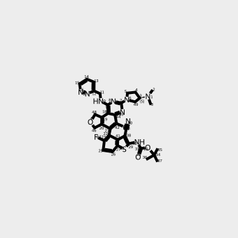 CN(C)[C@H]1CCN(c2nc(NCc3cccnn3)c3c4c(c(-c5c(F)ccc6sc(NC(=O)OC(C)(C)C)c(C#N)c56)c(Cl)c3n2)COC4)C1